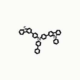 c1ccc(-c2ccc(N(c3ccc(-c4ccc5sc6ccccc6c5c4)cc3)c3ccc(-c4ccc5c6ccccc6n(-c6ccccc6)c5c4)cc3)cc2)cc1